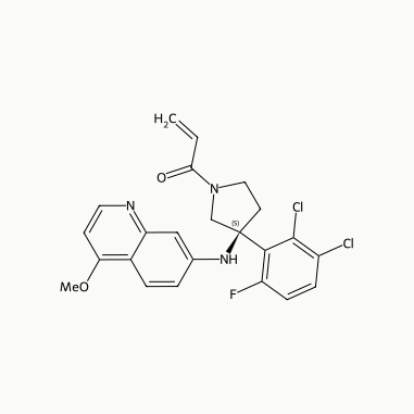 C=CC(=O)N1CC[C@](Nc2ccc3c(OC)ccnc3c2)(c2c(F)ccc(Cl)c2Cl)C1